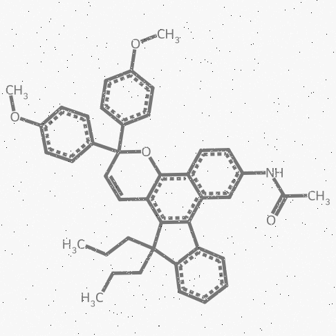 CCCC1(CCC)c2ccccc2-c2c1c1c(c3ccc(NC(C)=O)cc23)OC(c2ccc(OC)cc2)(c2ccc(OC)cc2)C=C1